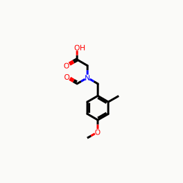 COc1ccc(CN(C=O)CC(=O)O)c(C)c1